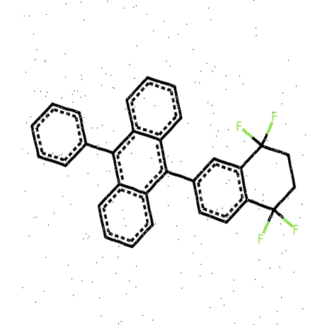 FC1(F)CCC(F)(F)c2cc(-c3c4ccccc4c(-c4ccccc4)c4ccccc34)ccc21